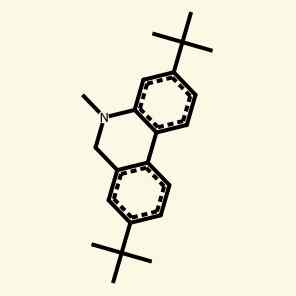 CN1Cc2cc(C(C)(C)C)ccc2-c2ccc(C(C)(C)C)cc21